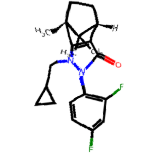 CC1(C)[C@@H]2CC[C@@]1(C)c1c2c(=O)n(-c2ccc(F)cc2F)n1CC1CC1